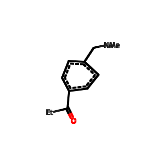 CCC(=O)c1ccc(CNC)cc1